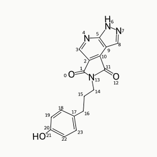 O=C1c2cnc3[nH]ncc3c2C(=O)N1CCCc1ccc(O)cc1